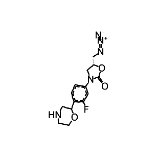 [N-]=[N+]=NC[C@H]1CN(c2ccc(C3CNCCO3)c(F)c2)C(=O)O1